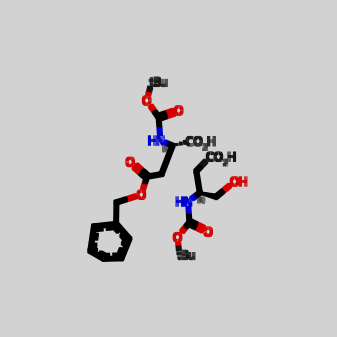 CC(C)(C)OC(=O)N[C@@H](CC(=O)OCc1ccccc1)C(=O)O.CC(C)(C)OC(=O)N[C@H](CO)CC(=O)O